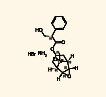 Br.CC[N+]1(C)[C@@H]2C[C@@H](OC(=O)[C@H](CO)c3ccccc3)C[C@H]1[C@@H]1O[C@@H]12.N